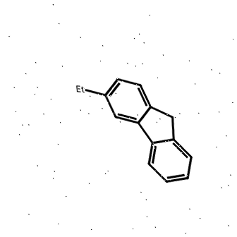 CCc1ccc2c(c1)-c1ccccc1[CH]2